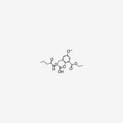 CCCC(=O)N[C@H]1Cc2cc(OC)cc(C(=O)OCC)c2OB1O